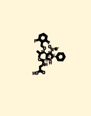 CC(C)[C@H](OCc1c(F)cccc1F)[C@H]1[C@H]([N+](=O)[O-])[C@H](c2ccccc2)N[C@@H]1C(=O)NCC(=O)O